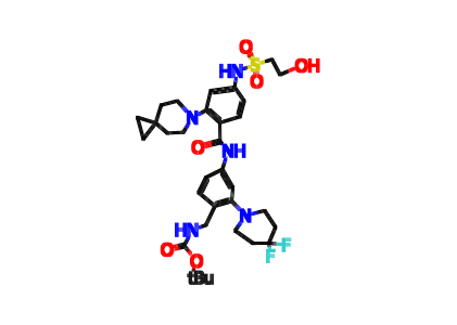 CC(C)(C)OC(=O)NCc1ccc(NC(=O)c2ccc(NS(=O)(=O)CCO)cc2N2CCC3(CC2)CC3)cc1N1CCC(F)(F)CC1